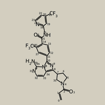 C=CC(=O)N1CCC(c2nc(-c3ccc(C(=O)Nc4cc(C(F)(F)F)ccn4)c(C(F)(F)F)c3)n3c(N)nccc23)C1